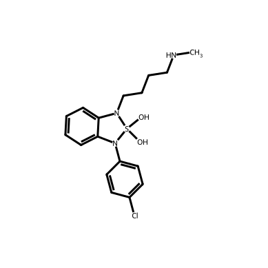 CNCCCCN1c2ccccc2N(c2ccc(Cl)cc2)S1(O)O